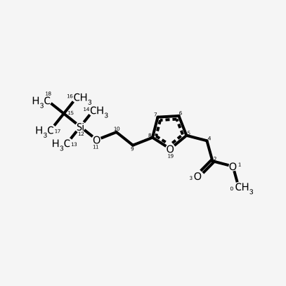 COC(=O)Cc1ccc(CCO[Si](C)(C)C(C)(C)C)o1